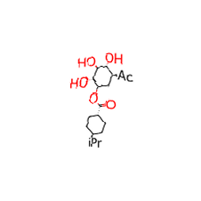 CC(=O)[C@H]1CC(OC(=O)[C@H]2CC[C@H](C(C)C)CC2)[C@H](O)[C@@H](O)[C@@H]1O